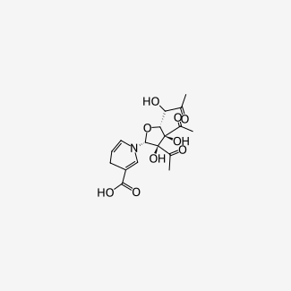 CC(=O)C(O)[C@H]1O[C@@H](N2C=CCC(C(=O)O)=C2)[C@@](O)(C(C)=O)[C@@]1(O)C(C)=O